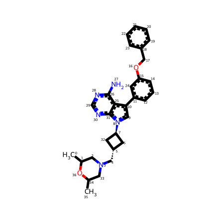 CC1CN(C[C@H]2C[C@H](n3cc(-c4cccc(OCc5ccccc5)c4)c4c(N)ncnc43)C2)CC(C)O1